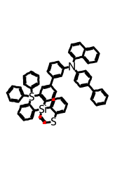 c1ccc(-c2ccc(N(c3cccc(-c4ccc5c(c4)S(c4ccccc4)(c4ccccc4)c4ccccc4[Si]54c5ccccc5Sc5ccccc54)c3)c3cccc4ccccc34)cc2)cc1